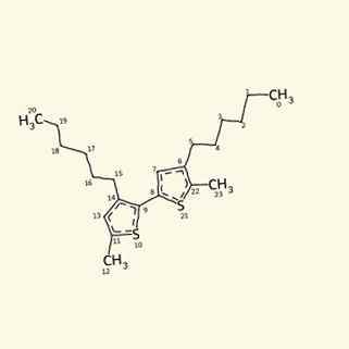 CCCCCCc1cc(-c2sc(C)cc2CCCCCC)sc1C